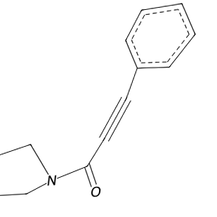 O=C(C#Cc1ccccc1)N1CCCC1